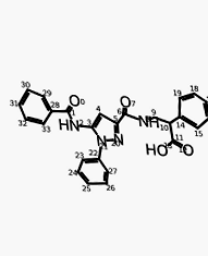 O=C(Nc1cc(C(=O)NCC(C(=O)O)c2ccccc2)nn1-c1ccccc1)c1ccccc1